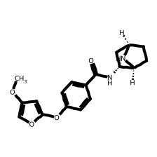 COc1coc(Oc2ccc(C(=O)N[C@@H]3C[C@H]4CC[C@@H]3N4)cc2)c1